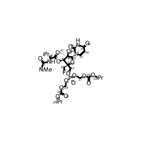 CNC(=O)NC(C(=O)O[C@@H]1[C@@](CF)(COP(=O)(OCOC(=O)OC(C)C)OCOC(=O)OC(C)C)O[C@@H](n2ccc(=O)[nH]c2=O)[C@]1(C)O)C(C)C